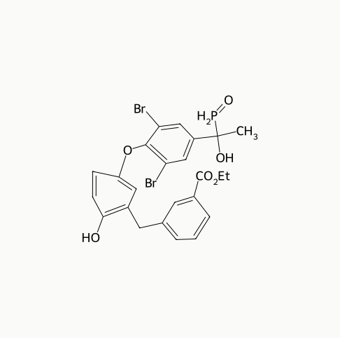 CCOC(=O)c1cccc(Cc2cc(Oc3c(Br)cc(C(C)(O)[PH2]=O)cc3Br)ccc2O)c1